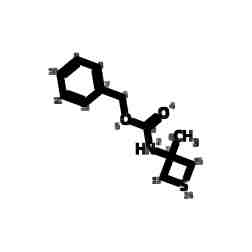 CC1(NC(=O)OCc2ccccc2)CSC1